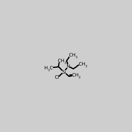 C=C[Si](Cl)(C(C)C)N(CC)CC